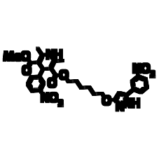 COC(=O)C1=C(C)NC(C)=C(C(=O)OCCCCCCOc2cc(-c3cccc([N+](=O)[O-])c3)[nH]n2)C1c1cccc([N+](=O)[O-])c1